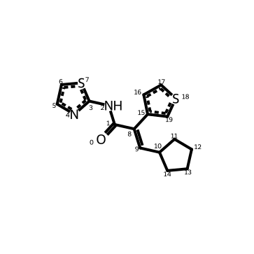 O=C(Nc1nccs1)C(=CC1CCCC1)c1ccsc1